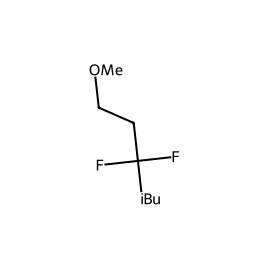 CCC(C)C(F)(F)CCOC